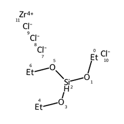 CCO[SiH](OCC)OCC.[Cl-].[Cl-].[Cl-].[Cl-].[Zr+4]